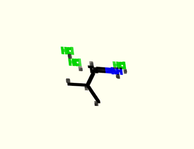 C[CH](C)[Ta]=[NH].Cl.Cl.Cl